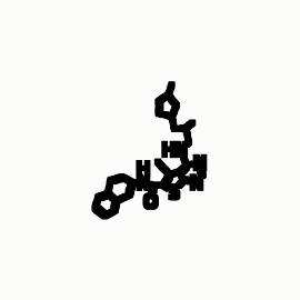 Cc1c(C(=O)Nc2ccc3ccccc3c2)sc2ncnc(NCC(C)CC3C=CC(C)C3)c12